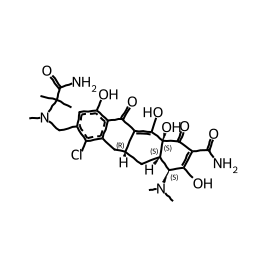 CN(C)[C@@H]1C(O)=C(C(N)=O)C(=O)[C@@]2(O)C(O)=C3C(=O)c4c(O)cc(CN(C)C(C)(C)C(N)=O)c(Cl)c4C[C@H]3C[C@@H]12